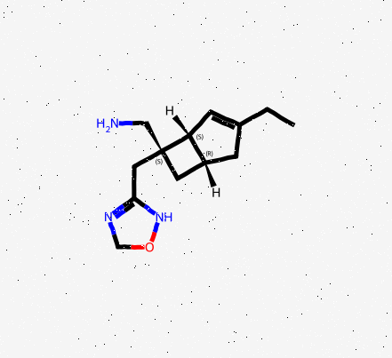 CCC1=C[C@@H]2[C@H](C1)C[C@]2(CN)CC1=NCON1